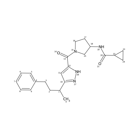 CC(CCc1ccccc1)c1cc(C(=O)N2CCC(NC(=O)C3CC3)C2)[nH]n1